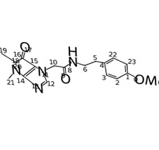 COc1ccc(CCNC(=O)Cn2cnc3c2C(=O)C(C)N3C)cc1